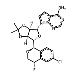 CC1(C)O[C@H]2[C@@H](O1)[C@H](n1ccc3c(N)ncnc31)O[C@@H]2[C@@H]1OC[C@@H](F)c2cc(Cl)ccc21